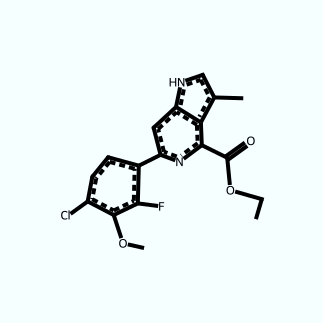 CCOC(=O)c1nc(-c2ccc(Cl)c(OC)c2F)cc2[nH]cc(C)c12